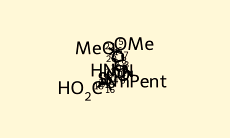 CCCCCON(C)C.COc1ccc(C(=O)Nc2nc(C)c(C(=O)O)s2)cc1OC